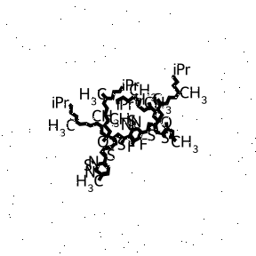 Cc1cc2c(s1)-c1sc(-c3c(F)c(F)c(-c4cc5c(s4)-c4sc(-c6ccc(C)c7nsnc67)cc4OC5(CCC(C)CCCC(C)CCCC(C)C)CCC(C)CCCC(C)CCCC(C)C)c4nsnc34)cc1C(CCC(C)CCCC(C)CCCC(C)C)(CCC(C)CCCC(C)CCCC(C)C)O2